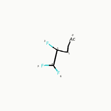 CC(=O)CC(F)C(F)F